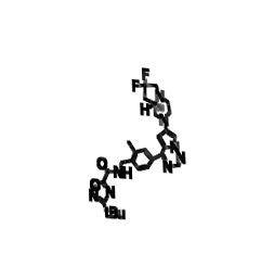 Cc1cc(-c2ncnn3cc(N4CCN5CC(F)(F)C[C@H]5C4)cc23)ccc1CNC(=O)c1nc(C(C)(C)C)no1